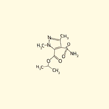 Cc1nn(C)c(C(=O)OC(C)C)c1S(N)(=O)=O